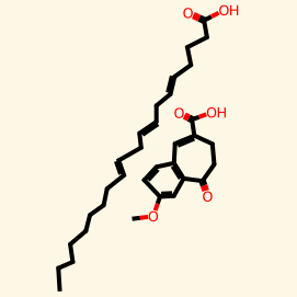 CCCCCCCCC=CCC=CCC=CCCCC(=O)O.COc1ccc2c(c1)C(=O)CCC(C(=O)O)=C2